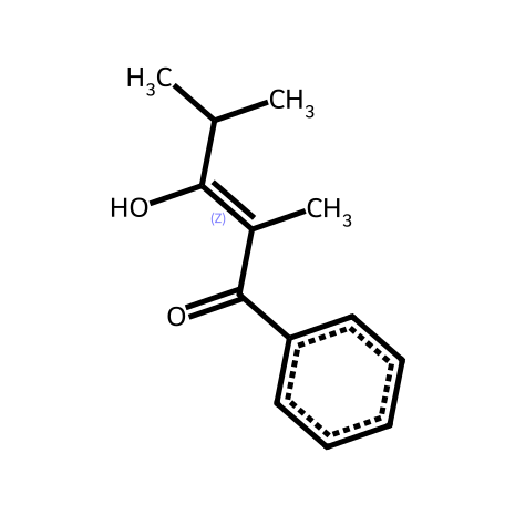 C/C(C(=O)c1ccccc1)=C(/O)C(C)C